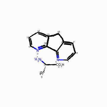 CC(C)[C@H](N)C(=O)O.c1cnc2c(c1)Cc1cccnc1-2